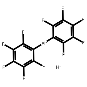 Fc1c(F)c(F)[c]([Al+][c]2c(F)c(F)c(F)c(F)c2F)c(F)c1F.[H-]